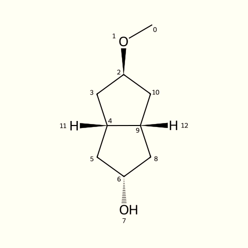 CO[C@@H]1C[C@H]2C[C@@H](O)C[C@H]2C1